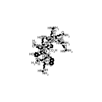 N=C(N)NCCC[C@H](NC(=O)[C@H](CS)NC(=O)[C@H](CCCNC(N)=O)NC(=O)[C@H](CCCNC(=N)N)NC(=O)[C@@H](CCC(=O)O)NC(=O)[C@@H]1CCCN1C(=O)[C@@H](CCC(=O)O)NC(=O)[C@H](CCCCN)NC(=O)[C@H](CCCNC(N)=O)NC(=O)[C@H](Cc1ccc(O)cc1)NC(=O)[C@H](CS)NC(=O)[C@H](Cc1ccc2ccccc2c1)NC(=O)[C@H](CCCNC(=N)N)NC(=O)[C@@H](N)CCCNC(=N)N)C(N)=O